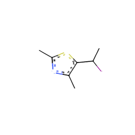 Cc1nc(C)c(C(C)I)s1